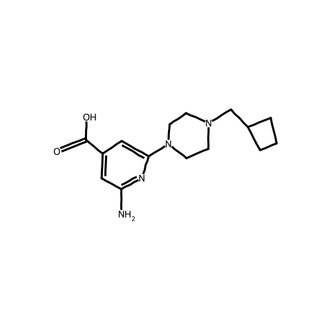 Nc1cc(C(=O)O)cc(N2CCN(CC3CCC3)CC2)n1